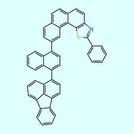 c1ccc(-c2nc3ccc4ccc5ccc(-c6ccc(-c7ccc8c9c(cccc79)-c7ccccc7-8)c7ccccc67)cc5c4c3s2)cc1